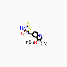 CCCCOc1c(C#N)cnc2ccc(/C=C3\SC(=S)NC3=O)cc12